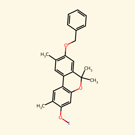 Cc1cc2c(cc1OI)OC(C)(C)c1cc(OCc3ccccc3)c(C)cc1-2